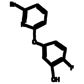 Oc1cc(Oc2cccc(Br)n2)ccc1F